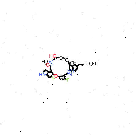 CCOC(=O)CCc1cccc(C2(C)CCCCCC(O)CN(C)C(=O)Cc3c(c(F)cc4[nH]ccc34)Oc3ccc(F)c(c3)-c3ncc2[nH]3)c1